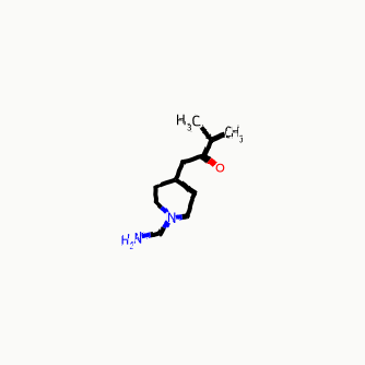 CC(C)C(=O)CC1CCN(CN)CC1